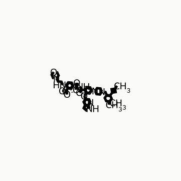 CC1(C)CCC(CN2CCN(c3ccc(C(=O)NS(=O)(=O)c4ccc(NCCN5CCOCC5)c([N+](=O)[O-])c4)c(Oc4cnc5[nH]ccc5c4)c3)CC2)=C(C23CC(C)(C2)C3)C1